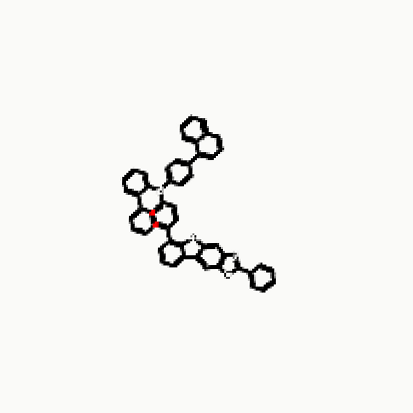 c1ccc(-c2nc3cc4oc5c(-c6ccc(N(c7ccc(-c8cccc9ccccc89)cc7)c7ccccc7-c7ccccc7)cc6)cccc5c4cc3o2)cc1